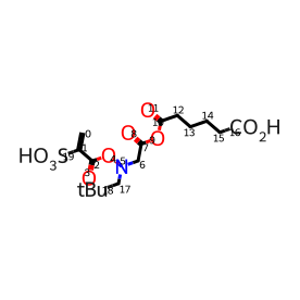 C=C(C(=O)ON(CC(=O)OC(=O)CCCCC(=O)O)CC(C)(C)C)S(=O)(=O)O